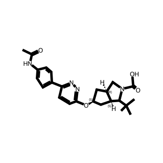 CC(=O)Nc1ccc(-c2ccc(O[C@H]3C[C@H]4CN(C(=O)O)C(C(C)(C)C)[C@H]4C3)nn2)cc1